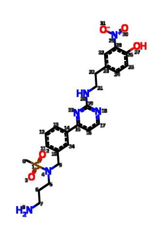 CS(=O)(=O)N(CCCN)Cc1cccc(-c2ccnc(NCCc3ccc(O)c([N+](=O)[O-])c3)n2)c1